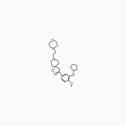 COc1ccc(C2=NOC3(CCN(CCN4CCOCC4)CC3)C2)cc1OC1CCCC1